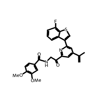 C=C(C)c1cc(C(=O)CNC(=O)c2ccc(OC)c(OC)c2)nc(-c2csc3c(F)cccc23)c1